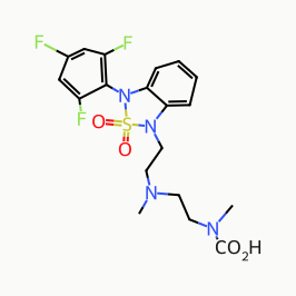 CN(CCN(C)C(=O)O)CCN1c2ccccc2N(c2c(F)cc(F)cc2F)S1(=O)=O